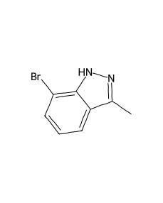 Cc1n[nH]c2c(Br)cccc12